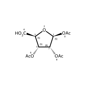 CC(=O)O[C@@H]1O[C@H](C(=O)O)[C@@H](OC(C)=O)[C@H]1OC(C)=O